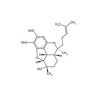 CC(C)=CCC[C@]1(C)Oc2cc(C=O)c(C=O)c3c2[C@H]2[C@@H](O3)[C@@](C)(O)CC[C@H]21